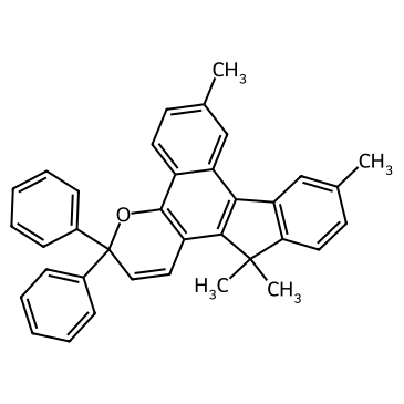 Cc1ccc2c(c1)-c1c(c3c(c4ccc(C)cc14)OC(c1ccccc1)(c1ccccc1)C=C3)C2(C)C